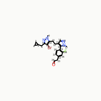 Cn1nc(CC2CC2)c(Br)c1CCc1cnn(C)c1-c1ccc(CC=O)cc1F